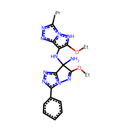 CCOC1=Nn2c(-c3ccccc3)nnc2C1(N)Nc1c(OCC)[nH]n2c(C(C)C)nnc12